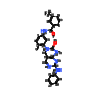 Cc1ccc(NC(=O)c2cccc(C(F)(F)F)c2)cc1N1Cc2cnc(Nc3ccccc3)nc2N(C)C1=O